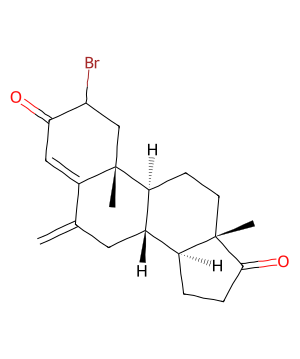 C=C1C[C@@H]2[C@H](CC[C@]3(C)C(=O)CC[C@@H]23)[C@@]2(C)CC(Br)C(=O)C=C12